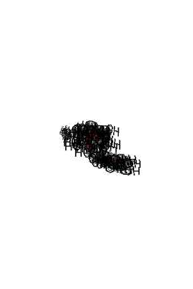 CC1C(O)[C@H](O[C@@H]2OC(CO)[C@H](O)C(O)[C@@H]2O)[C@H](CO)O[C@H]1O[C@@H]1C(O)[C@H](O)C(CO)O[C@@H]1OCC(O[C@@H](O[C@@H]1C(CO)O[C@@H](O[C@@H]2C(CO)O[C@@H](NC(=O)CC(NC(=O)OCC3c4ccccc4-c4ccccc43)C(=O)O)[C@@H](C)C2O)[C@@H](C)C1O)[C@@H](C)O)[C@@H](O)CO[C@H]1O[C@H](CO)[C@@H](O)C(O)C1O[C@@H]1OC(CO)[C@@H](O[C@@H]2OC(CO)[C@H](O)C(O)[C@@H]2O)C(O)[C@@H]1C